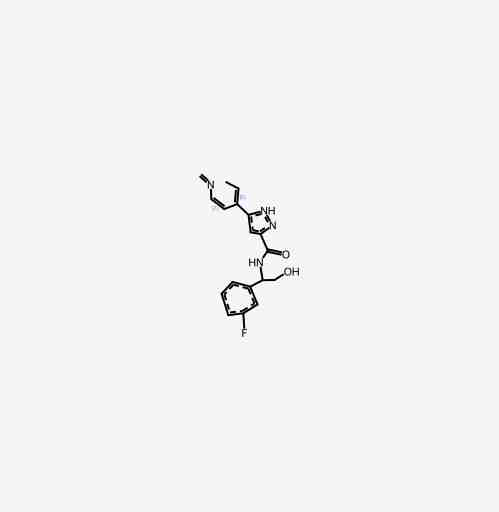 C=N/C=C\C(=C/C)c1cc(C(=O)NC(CO)c2cccc(F)c2)n[nH]1